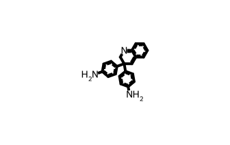 Nc1ccc(C2(c3ccc(N)cc3)C=c3ccccc3=NC2)cc1